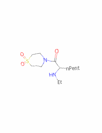 CCCCCC(NCC)C(=O)N1CCS(=O)(=O)CC1